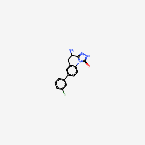 NC1Cc2cc(-c3cccc(Cl)c3)ccc2-n2c1n[nH]c2=O